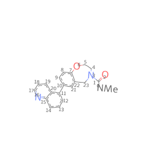 CNC(=O)N1CCOc2ccc(-c3cccc4ncccc34)cc2C1